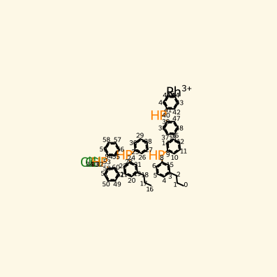 CCCc1cccc(Pc2ccccc2)c1.CCCc1cccc(Pc2ccccc2)c1.[Cl-].[Cl-].[Cl-].[Rh+3].c1ccc(Pc2ccccc2)cc1.c1ccc(Pc2ccccc2)cc1